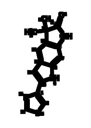 CC1(C)C(=O)Nc2cc3[nH]c(-c4cscn4)cc3cc21